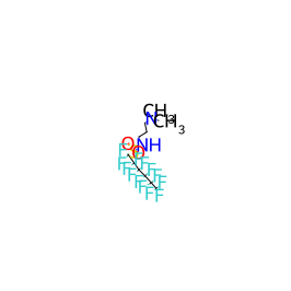 CN(C)CCCNS(=O)(=O)C(F)(F)C(F)(F)C(F)(F)C(F)(F)C(F)(F)C(F)(F)F